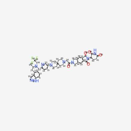 C[C@@H]1Cc2c(ccc3[nH]ncc23)[C@@H](c2ccc(N3CCC4(CCN(CC(=O)N5Cc6cc7c(cc6C5)C(=O)N(C5CCC(=O)NC5=O)C7=O)CC4)CC3)cn2)N1CC(F)(F)F